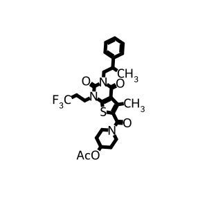 CC(=O)OC1CCN(C(=O)c2sc3c(c2C)c(=O)n(CC(C)c2ccccc2)c(=O)n3CCC(F)(F)F)CC1